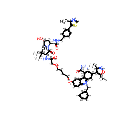 Cc1ncsc1-c1ccc(CNC(=O)[C@@H]2C[C@@H](O)CN2C(=O)[C@@H](NC(=O)COCCCCOc2ccc3c(c2)c2c(C(N)=O)cc(-c4c(C)noc4C)cc2n3Cc2ccccc2)C(C)(C)C)cc1